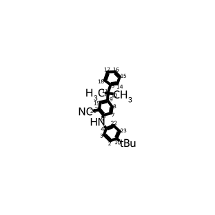 CC(C)(C)c1ccc(Nc2ccc(C(C)(C)c3ccccc3)cc2C#N)cc1